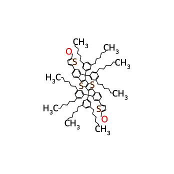 CCCCCCc1cc(CCCCCC)cc(C2(c3cc(CCCCCC)cc(CCCCCC)c3)c3cc(-c4ccc(C=O)s4)ccc3-c3sc4c5c(sc4c32)-c2ccc(-c3ccc(C=O)s3)cc2C5(c2cc(CCCCCC)cc(CCCCCC)c2)c2cc(CCCCCC)cc(CCCCCC)c2)c1